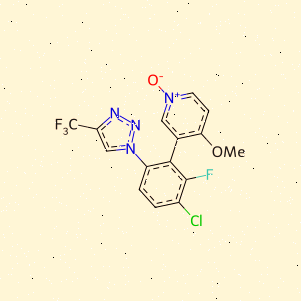 COc1cc[n+]([O-])cc1-c1c(-n2cc(C(F)(F)F)nn2)ccc(Cl)c1F